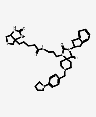 O=C(CCCCC12CSCC1NC(=O)N2)NCCCN1C(=O)N(C2Cc3ccccc3C2)C(=O)C12CCN(Cc1ccc(N3CCCC3)cc1)CC2